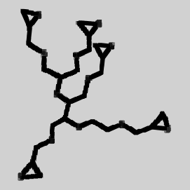 C(CSC(CSCC1CS1)C(CSCC1CS1)SC(CSCC1CS1)CSCC1CS1)SCC1CS1